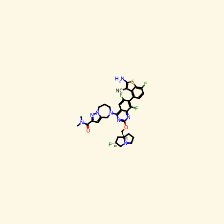 CN(C)C(=O)c1cc2n(n1)CCCN(c1nc(OC[C@@]34CCCN3C[C@H](F)C4)nc3c(F)c(-c4ccc(F)c5sc(N)c(C#N)c45)c(F)cc13)C2